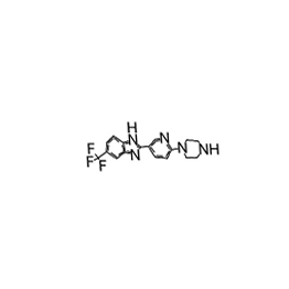 FC(F)(F)c1ccc2[nH]c(-c3ccc(N4CCNCC4)nc3)nc2c1